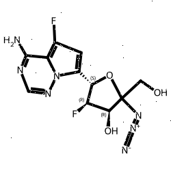 [N-]=[N+]=NC1(CO)O[C@@H](c2cc(F)c3c(N)ncnn23)[C@H](F)[C@@H]1O